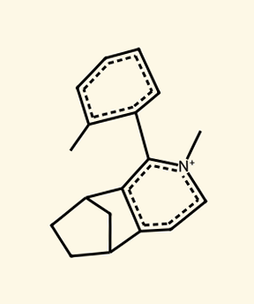 Cc1ccccc1-c1c2c(cc[n+]1C)C1CCC2C1